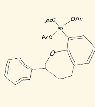 CC(=O)[O][Pb]([O]C(C)=O)([O]C(C)=O)[c]1cccc2c1OC(c1ccccc1)CC2